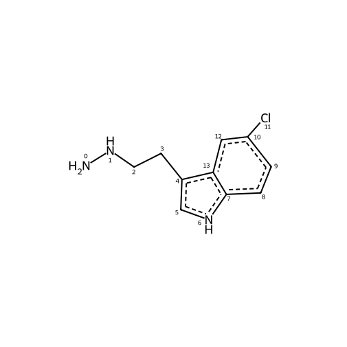 NNCCc1c[nH]c2ccc(Cl)cc12